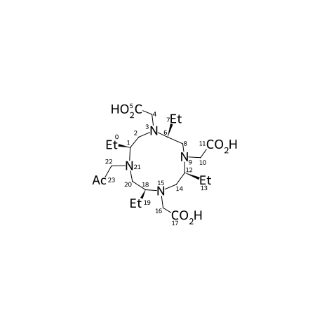 CC[C@H]1CN(CC(=O)O)[C@@H](CC)CN(CC(=O)O)[C@@H](CC)CN(CC(=O)O)[C@@H](CC)CN1CC(C)=O